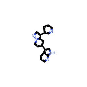 c1cncc(-c2cnn3ccc(-c4c[nH]c5ncccc45)cc23)c1